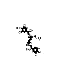 CC(C)(CCC(C)(C)NCC(O)c1cc(Cl)c(N)c(Cl)c1)NCC(O)c1cc(Cl)c(N)c(Cl)c1.O=S(=O)(O)O